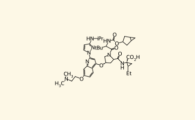 CCC1C[C@]1(NC(=O)C1C[C@@H](Oc2cc(-n3ccc(NC(C)C)n3)nc3cc(OCCN(C)C)ccc23)CN1C(=O)C(NC(=O)OC1CC2CC2C1)C(C)(C)C)C(=O)O